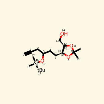 C#CCC(CC[C@@H]1OC(C)(C)O[C@@H]1CO)O[Si](C)(C)C(C)(C)C